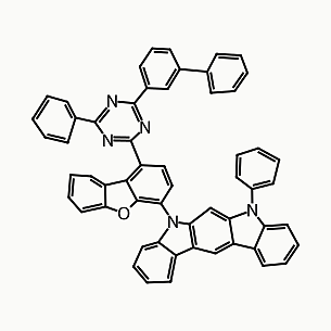 c1ccc(-c2cccc(-c3nc(-c4ccccc4)nc(-c4ccc(-n5c6ccccc6c6cc7c8ccccc8n(-c8ccccc8)c7cc65)c5oc6ccccc6c45)n3)c2)cc1